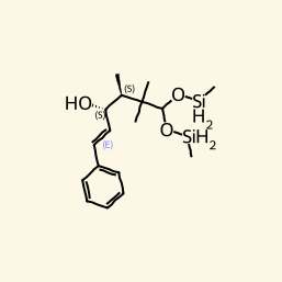 C[SiH2]OC(O[SiH2]C)C(C)(C)[C@H](C)[C@@H](O)/C=C/c1ccccc1